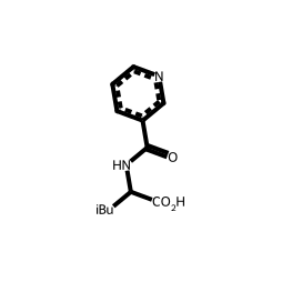 CCC(C)C(NC(=O)c1cccnc1)C(=O)O